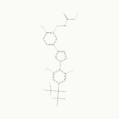 CCC(=O)NCc1cc(-c2cnn(-c3c(Cl)cc(C(F)(C(F)(F)F)C(F)(F)F)cc3Cl)c2)ccc1Cl